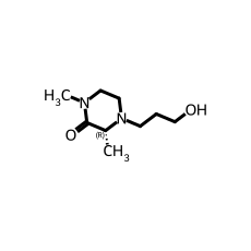 C[C@@H]1C(=O)N(C)CCN1CCCO